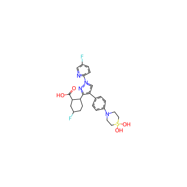 O=C(O)C1CC(F)CCC1c1nn(-c2ccc(F)cn2)cc1-c1ccc(N2CCS(O)(O)CC2)cc1